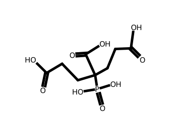 O=C(O)CCC(CCC(=O)O)(C(=O)O)P(=O)(O)O